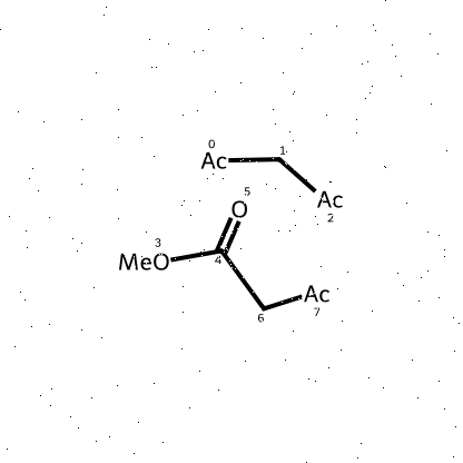 CC(=O)CC(C)=O.COC(=O)CC(C)=O